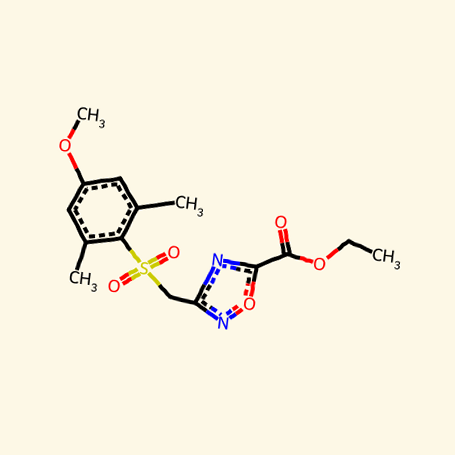 CCOC(=O)c1nc(CS(=O)(=O)c2c(C)cc(OC)cc2C)no1